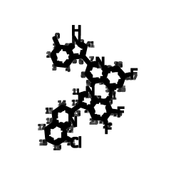 Cc1cccc2c(-c3cc(-n4cc(-c5ccc6cccc(Cl)c6n5)c5cc(F)c(F)c(F)c54)c4ccc(F)cc4n3)c[nH]c12